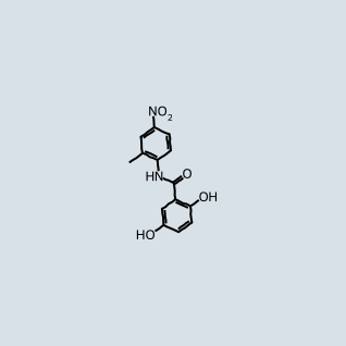 Cc1cc([N+](=O)[O-])ccc1NC(=O)c1cc(O)ccc1O